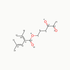 CC(=O)C(=O)CCCOC(=O)C(C=C(C)C)=C(C)C